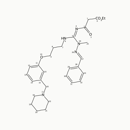 CCOC(=O)CC(=O)/N=C(/NCCCOc1cccc(CN2CCCCC2)c1)N(C)/N=C/c1ccccc1